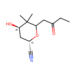 CCC(=O)CC1O[C@H](C#N)C[C@@H](O)C1(C)C